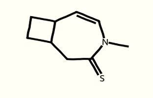 CN1C=CC2CCC2CC1=S